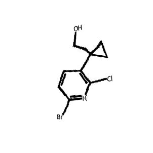 OCC1(c2ccc(Br)nc2Cl)CC1